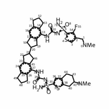 CNCc1csc(S(N)(=O)=NC(=O)Nc2c3c(cc4c2CC(C2Cc5cc6c(c(NC(=O)N=S(N)(=O)c7cc8c(s7)CC(NC)CC8)c5C2)CCC6)C4)CCC3)c1F